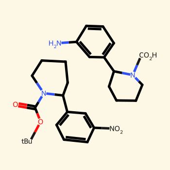 CC(C)(C)OC(=O)N1CCCCC1c1cccc([N+](=O)[O-])c1.Nc1cccc(C2CCCCN2C(=O)O)c1